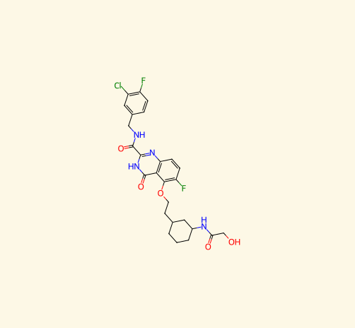 O=C(CO)NC1CCCC(CCOc2c(F)ccc3nc(C(=O)NCc4ccc(F)c(Cl)c4)[nH]c(=O)c23)C1